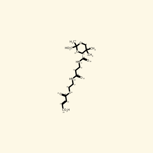 CC1(C(=O)O)OCC(C)(C)[C@H](C(=O)NCCC(=O)NCCSC(=O)/C=C/C(=O)O)O1